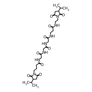 CC(C)C1CC(=O)N(CCCC(=O)NCC(=O)NCC(=O)NCC(=O)NCCC(=O)NCCN2C(=O)CC(C(C)C)C2=O)C1=O